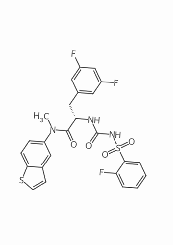 CN(C(=O)[C@H](Cc1cc(F)cc(F)c1)NC(=O)NS(=O)(=O)c1ccccc1F)c1ccc2sccc2c1